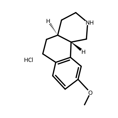 COc1ccc2c(c1)[C@H]1CNCC[C@@H]1CC2.Cl